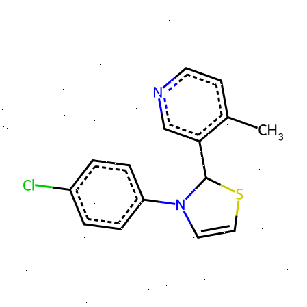 Cc1ccncc1C1SC=[C]N1c1ccc(Cl)cc1